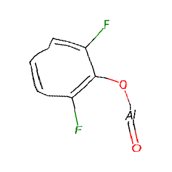 [O]=[Al][O]c1c(F)cccc1F